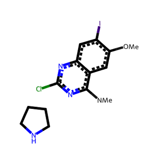 C1CCNC1.CNc1nc(Cl)nc2cc(I)c(OC)cc12